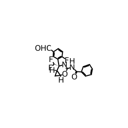 O=Cc1ccc(F)c([C@@]2(C(F)F)N=C(NC(=O)c3ccccc3)O[C@@H]3C[C@@H]32)c1